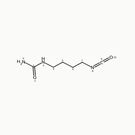 NC(=O)NCCCCN=C=O